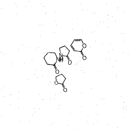 O=C1CCCCN1.O=C1CCCN1.O=C1CCCO1.O=c1cccco1